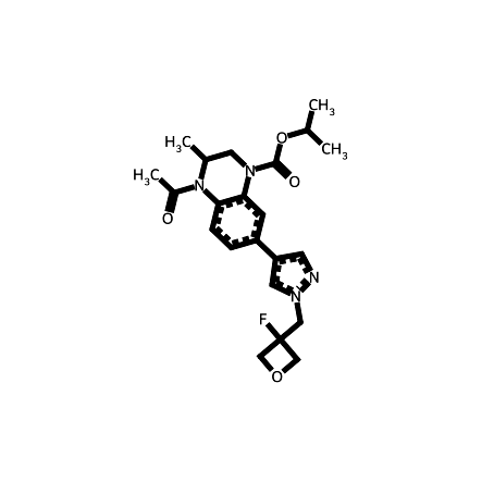 CC(=O)N1c2ccc(-c3cnn(CC4(F)COC4)c3)cc2N(C(=O)OC(C)C)CC1C